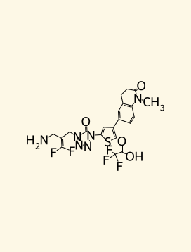 CN1C(=O)CCc2cc(-c3csc(-n4nnn(CC(CN)=C(F)F)c4=O)c3)ccc21.O=C(O)C(F)(F)F